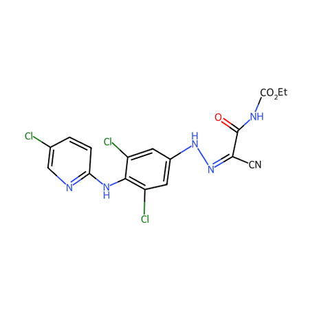 CCOC(=O)NC(=O)/C(C#N)=N\Nc1cc(Cl)c(Nc2ccc(Cl)cn2)c(Cl)c1